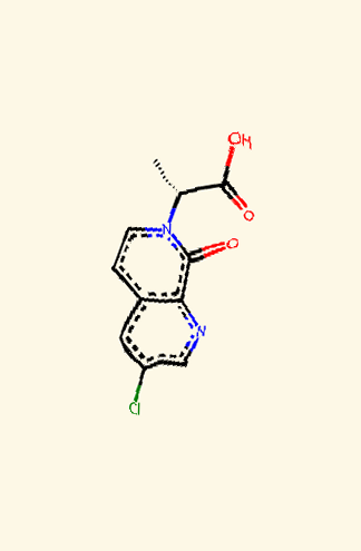 C[C@H](C(=O)O)n1ccc2cc(Cl)cnc2c1=O